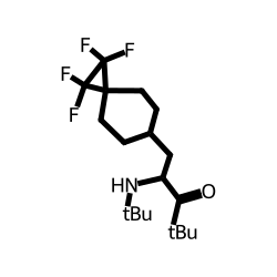 CC(C)(C)NC(CC1CCC2(CC1)C(F)(F)C2(F)F)C(=O)C(C)(C)C